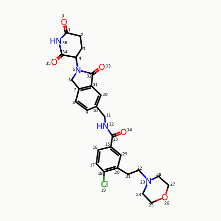 O=C1CCC(N2Cc3ccc(CNC(=O)c4ccc(Cl)c(CCN5CCOCC5)c4)cc3C2=O)C(=O)N1